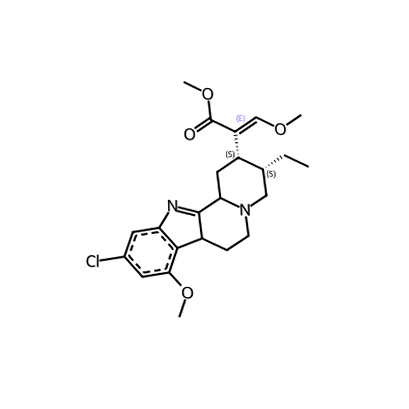 CC[C@@H]1CN2CCC3C(=Nc4cc(Cl)cc(OC)c43)C2C[C@@H]1/C(=C\OC)C(=O)OC